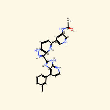 Cc1cccc(-c2ccnc3[nH]c(-c4n[nH]c5ccc(-c6cncc(NC(=O)C(C)(C)C)c6)nc45)nc23)c1